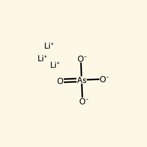 O=[As]([O-])([O-])[O-].[Li+].[Li+].[Li+]